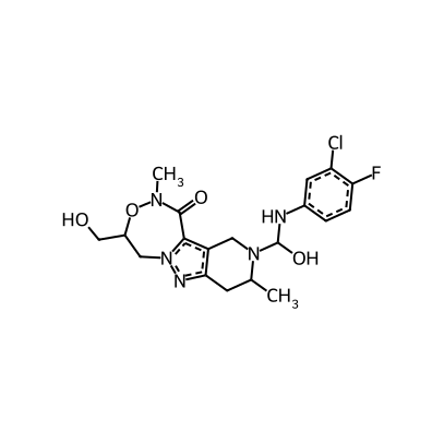 CC1Cc2nn3c(c2CN1C(O)Nc1ccc(F)c(Cl)c1)C(=O)N(C)OC(CO)C3